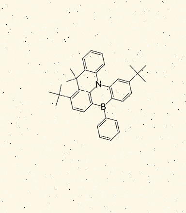 CC(C)(C)c1ccc2c(c1)N1c3ccccc3C(C)(C)c3c(C(C)(C)C)ccc(c31)B2c1ccccc1